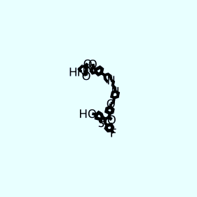 O=C(c1ccc(OCC2CCN(CCCN3CCC(c4ccc5c(c4)CN(C4C(=O)CCNC4=O)C5=O)CC3)CC2)cc1)c1c(-c2ccc(F)cc2)sc2cc(O)ccc12